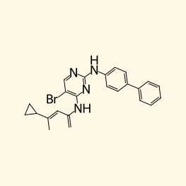 C=C(/C=C(\C)C1CC1)Nc1nc(Nc2ccc(-c3ccccc3)cc2)ncc1Br